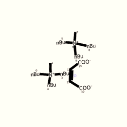 CCCC[N+](C)(CCCC)CCCC.CCCC[N+](C)(CCCC)CCCC.O=C([O-])/C=C\C(=O)[O-]